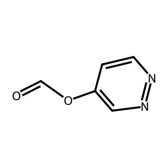 O=COc1ccnnc1